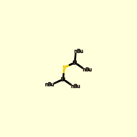 CCC[CH2][Bi]([CH2]CCC)[S][Bi]([CH2]CCC)[CH2]CCC